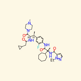 CCn1nccc1C(=O)N[C@@](C)(C(=O)Nc1ccc([C@H](C)[C@@H](NC(=O)CC2CC2)C(=O)N2CCN(C)CC2)cc1F)C1CCCCCC1